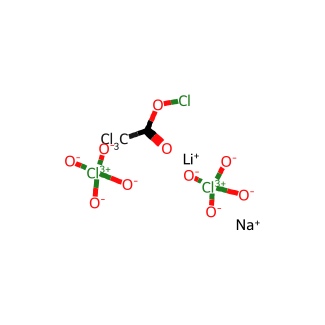 O=C(OCl)C(Cl)(Cl)Cl.[Li+].[Na+].[O-][Cl+3]([O-])([O-])[O-].[O-][Cl+3]([O-])([O-])[O-]